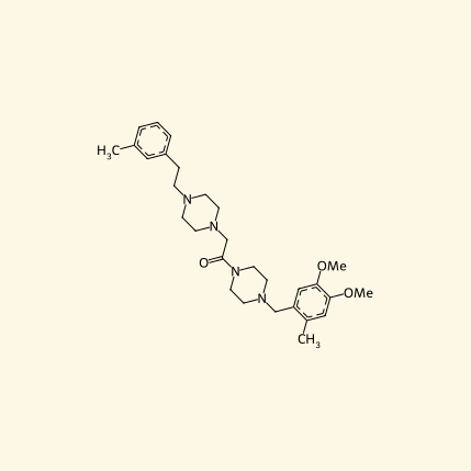 COc1cc(C)c(CN2CCN(C(=O)CN3CCN(CCc4cccc(C)c4)CC3)CC2)cc1OC